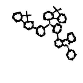 CC1(C)c2ccccc2-c2ccc(-c3cccc(N(c4cccc(-c5cccc6c5c5ccccc5n6-c5ccccc5)c4)c4cccc5c4-c4ccccc4C5(C)C)c3)cc21